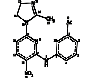 CC(=O)c1cccc(Nc2nc(N3CCN=C3C)ccc2[N+](=O)[O-])c1